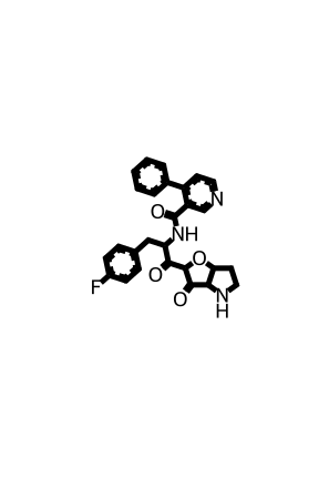 O=C(NC(Cc1ccc(F)cc1)C(=O)C1OC2CCNC2C1=O)c1cnccc1-c1ccccc1